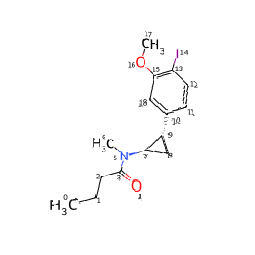 CCCC(=O)N(C)[C@@H]1C[C@H]1c1ccc(I)c(OC)c1